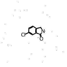 O=C1[N]Cc2ccc(Cl)cc21